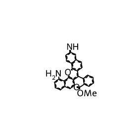 COC(=O)c1ccccc1-c1c2ccc3cc(=N)ccc3c2oc2c1ccc1cccc(N)c12